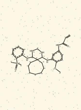 C=CC(=O)Nc1ccc(OC)c(NC2NCNC(Nc3ccccc3P(C)(C)=O)C23CCCCCCC3)c1